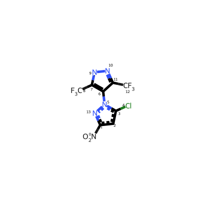 O=[N+]([O-])c1cc(Cl)n(C2=C(C(F)(F)F)[N]N=C2C(F)(F)F)n1